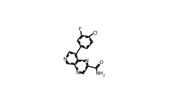 NC(=O)c1cnc2cncc(-c3ccc(Cl)c(F)c3)c2n1